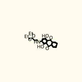 CCOC(CCNc1cc(O)c2c(c1O)C(=O)c1ccccc1C2=O)OCC